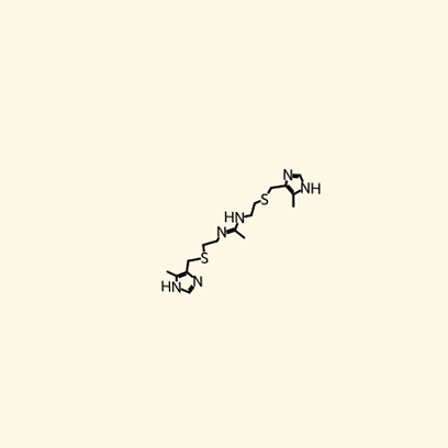 C/C(=N\CCSCc1nc[nH]c1C)NCCSCc1nc[nH]c1C